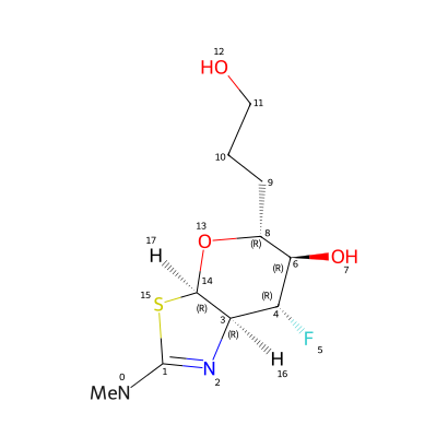 CNC1=N[C@@H]2[C@@H](F)[C@H](O)[C@@H](CCCO)O[C@@H]2S1